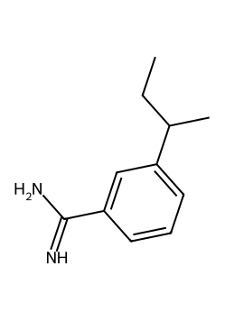 CCC(C)c1cccc(C(=N)N)c1